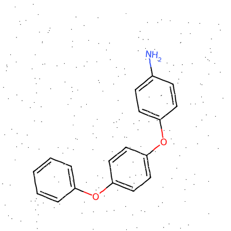 Nc1ccc(Oc2ccc(Oc3ccccc3)cc2)cc1